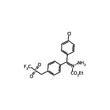 CCOC(=O)[N+](N)=C(c1ccc(Cl)cc1)c1ccc(CS(=O)(=O)C(F)(F)F)cc1